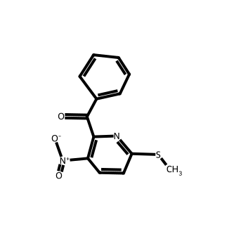 CSc1ccc([N+](=O)[O-])c(C(=O)c2ccccc2)n1